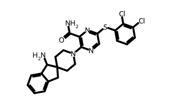 NC(=O)c1nc(Sc2cccc(Cl)c2Cl)cnc1N1CCC2(CC1)Cc1ccccc1C2N